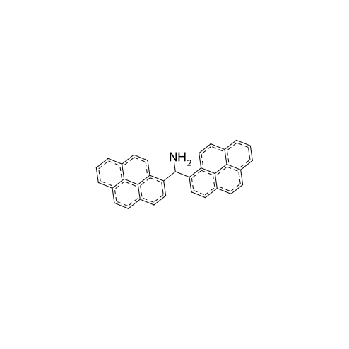 NC(c1ccc2ccc3cccc4ccc1c2c34)c1ccc2ccc3cccc4ccc1c2c34